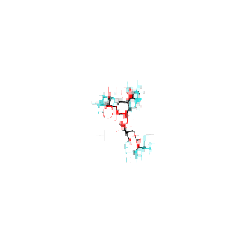 CCC(C)(COC(C(F)(F)F)C(F)(F)F)C(=O)OC1CC(C(O)(C(F)(F)F)C(F)(F)F)CC(C(O)(C(F)(F)F)C(F)(F)F)C1